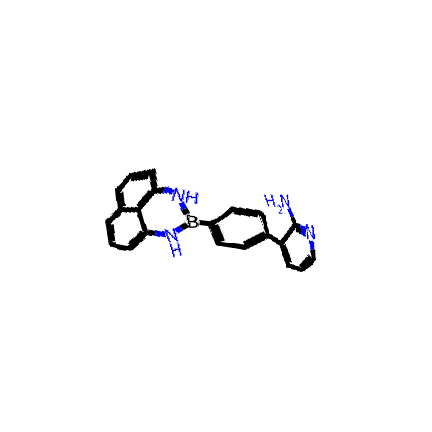 Nc1ncccc1-c1ccc(B2Nc3cccc4cccc(c34)N2)cc1